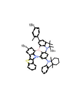 CCCCC1(C)N2c3cc(N4c5ccccc5C5(C)CCCCC45C)cc4c3B(c3cc(-c5ccc(C(C)(C)C)cc5C)cc(c32)C1(C)C)c1cc(C(C)(C)C)cc2c3sc5ccccc5c3n-4c12